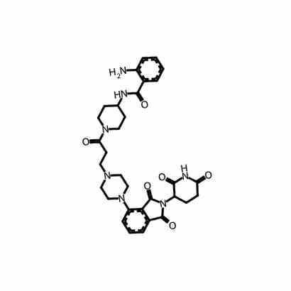 Nc1ccccc1C(=O)NC1CCN(C(=O)CCN2CCN(c3cccc4c3C(=O)N(C3CCC(=O)NC3=O)C4=O)CC2)CC1